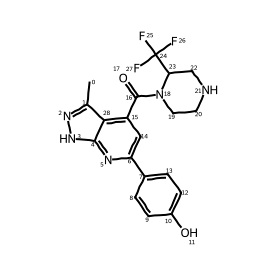 Cc1n[nH]c2nc(-c3ccc(O)cc3)cc(C(=O)N3CCNCC3C(F)(F)F)c12